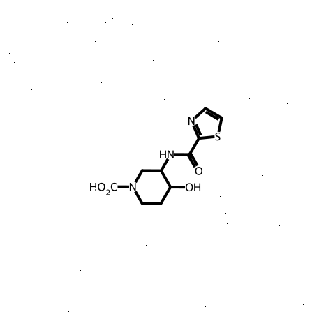 O=C(NC1CN(C(=O)O)CCC1O)c1nccs1